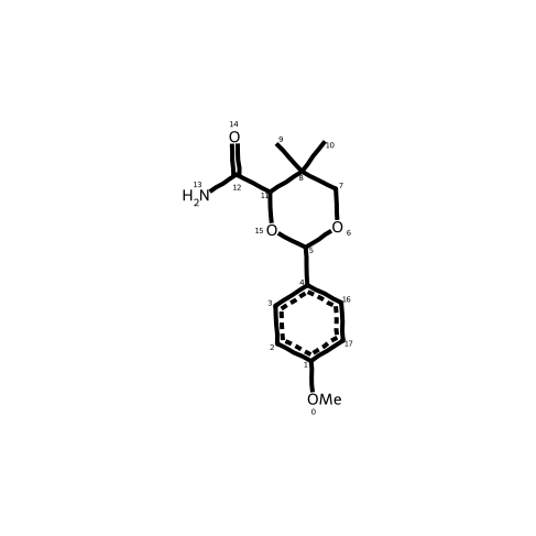 COc1ccc(C2OCC(C)(C)C(C(N)=O)O2)cc1